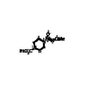 CCOC(=O)N1CCN([N+]([O-])=NOC)CC1